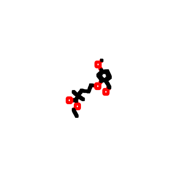 CCOC(=O)C(C)(C)CCCOc1cc(OC)ccc1C=O